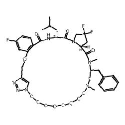 CC(C)C[C@H]1NC(=O)c2ccc(F)cc2OCc2cn(nn2)CCCCCCCCN(C)CC(Cc2ccccc2)N(C)C(=O)[C@H]2CC(F)(F)CN2C1=O